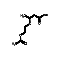 CCCCC(=O)CC(C)SCCOC(N)=O